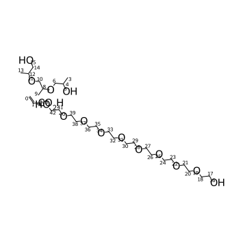 C=CC(=O)O.CC(O)COC(C)COC(C)CO.OCCOCCOCCOCCOCCOCCOCCOCCOCCO